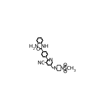 CS(=O)(=O)N1CCN(Cc2cnc(-c3ccc(C(=O)Nc4ccccc4N)cc3)c(C#N)c2)CC1